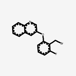 Fc1cccc(Oc2cnc3ccccc3c2)c1CBr